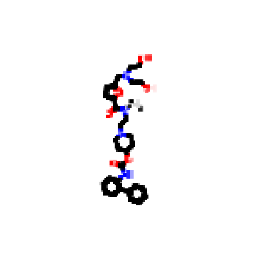 CN(CCN1CCC(OC(=O)Nc2ccccc2-c2ccccc2)CC1)C(=O)c1ccc(CN(CCO)CCO)o1